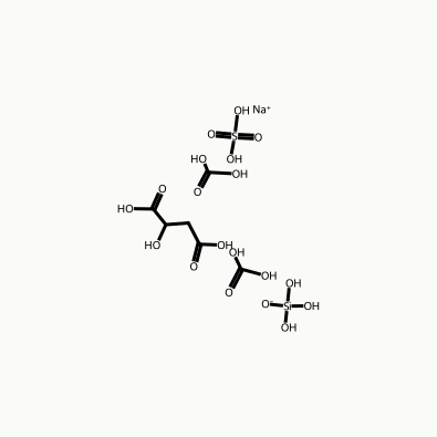 O=C(O)CC(O)C(=O)O.O=C(O)O.O=C(O)O.O=S(=O)(O)O.[Na+].[O-][Si](O)(O)O